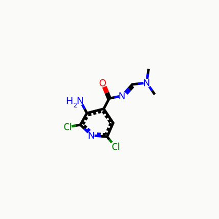 CN(C)C=NC(=O)c1cc(Cl)nc(Cl)c1N